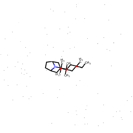 CCCCC(C)(C)C1CC2CCC(C1)N2C(C)(C)CCCC